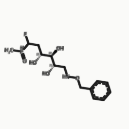 C[PH](=O)C(F)C[C@@H](O)[C@@H](O)[C@@H](O)CNOCc1ccccc1